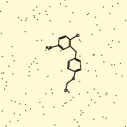 Bc1ccc(Cl)c(Cc2ccc(OCC(F)(F)F)cc2)c1